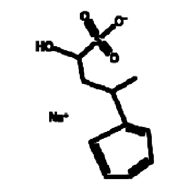 CC(CC(O)S(=O)(=O)[O-])c1ccccc1.[Na+]